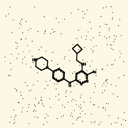 CC(=O)c1nnc(Nc2ccc(N3CCNCC3)cc2)cc1NCC1CCC1